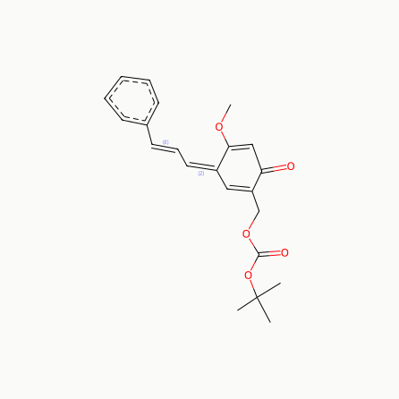 COC1=CC(=O)C(COC(=O)OC(C)(C)C)=C/C1=C/C=C/c1ccccc1